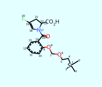 C[Si](C)(C)CCOCOc1ccccc1C(=O)N1C=C(F)CC1C(=O)O